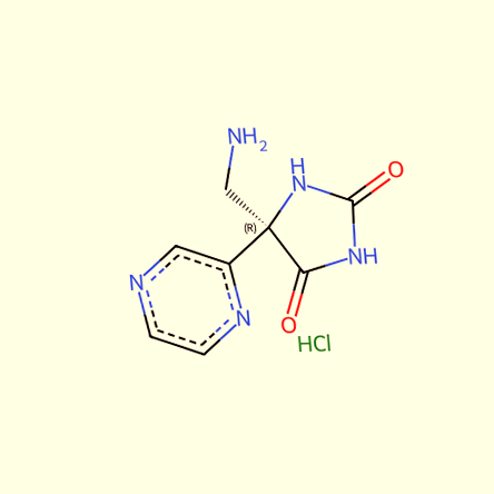 Cl.NC[C@]1(c2cnccn2)NC(=O)NC1=O